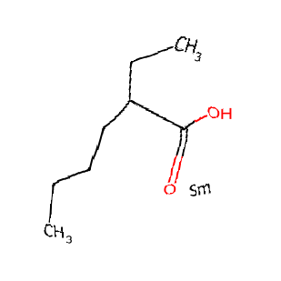 CCCCC(CC)C(=O)O.[Sm]